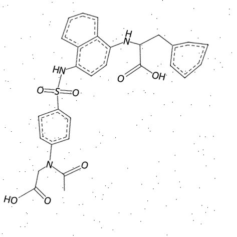 CC(=O)N(CC(=O)O)c1ccc(S(=O)(=O)Nc2ccc(NC(Cc3ccccc3)C(=O)O)c3ccccc23)cc1